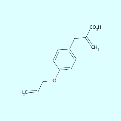 C=CCOc1ccc(CC(=C)C(=O)O)cc1